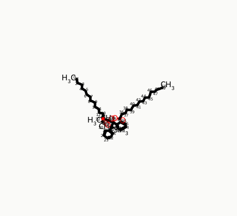 CCCCCCCCCCCCCCCC(=O)OC([SiH3])(c1ccccc1)C(COC(C)(C)C)(OC(=O)CCCCCCCCCCCCCCC)c1ccccc1